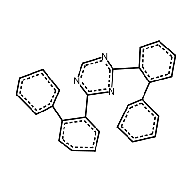 c1ccc(-c2ccccc2-c2ncnc(-c3ccccc3-c3ccccc3)n2)cc1